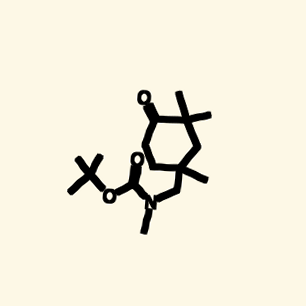 CN(CC1(C)CCC(=O)C(C)(C)C1)C(=O)OC(C)(C)C